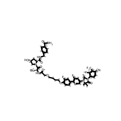 CC(C)(C)[C@H](NC(=O)COCCCCOc1ccc(-c2ncc(N3C(=S)N(c4ccc(C#N)c(C(F)(F)F)c4F)C(=O)C3(C)C)cc2F)cc1F)C(=O)N1C[C@H](O)C[C@H]1C(=O)NCc1ccc(C(N)=O)cc1